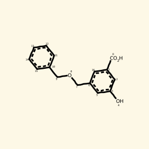 O=C(O)c1cc(O)cc(COCc2ccccc2)c1